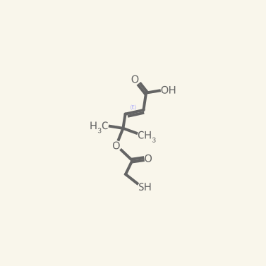 CC(C)(/C=C/C(=O)O)OC(=O)CS